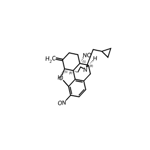 C=C1CC[C@@]2(N=O)[C@H]3Cc4ccc(N=O)c5c4[C@@]2(CCN3CC2CC2)[C@H]1O5